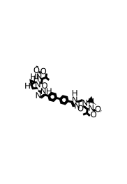 COC(=O)N[C@H](C(=O)N(Cc1ncc(-c2ccc(-c3ccc(-c4cnc([C@@H]5C[C@H]6C[C@H]6N5C(=O)[C@@H](NC(=O)OC)C(C)C)[nH]4)cc3)cc2)[nH]1)[C@@H]1C[C@@H]1C)C(C)C